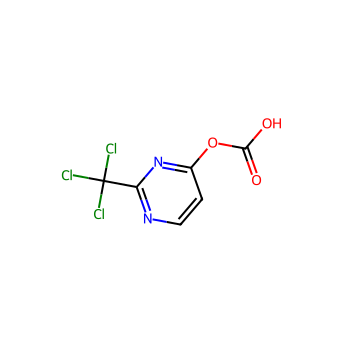 O=C(O)Oc1ccnc(C(Cl)(Cl)Cl)n1